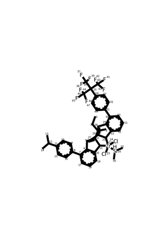 CCC(C)C1=Cc2c(-c3ccc(C(C)C)cc3)cccc2[CH]1[Zr]([Cl])([Cl])([CH]1C(C)=Cc2c(-c3ccc(C(C(F)(F)F)(C(F)(F)F)C(F)(F)F)cc3)cccc21)[SiH](C)C